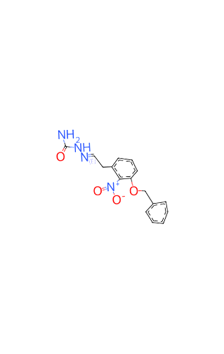 NC(=O)N/N=C/Cc1cccc(OCc2ccccc2)c1[N+](=O)[O-]